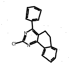 Clc1nc(-c2ccccc2)c2c(n1)-c1ccccc1CC2